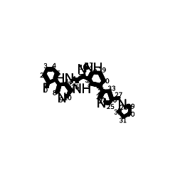 Fc1ccccc1-c1cncc2c1NC(c1n[nH]c3ccc(-c4cncc(CN5CCCC5)c4)cc13)N2